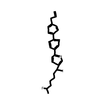 C=CCc1ccc(-c2ccc(-c3ccc(C(I)CCCCC(C)F)cn3)cc2)cc1